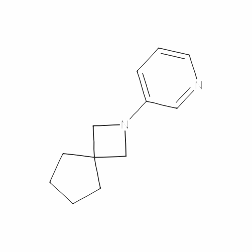 c1cncc(N2CC3(CCCC3)C2)c1